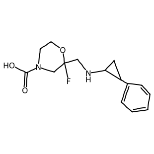 O=C(O)N1CCOC(F)(CNC2CC2c2ccccc2)C1